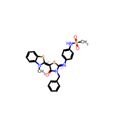 CN1/C(=C2/S/C(=N\c3ccc(NS(C)(=O)=O)cc3)N(Cc3ccccc3)C2=O)Sc2ccccc21